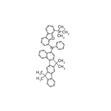 CC1(C)c2ccccc2-c2cc3c(cc21)-c1c(cc(N(c2ccccc2)c2cccc4c2oc2c([Si](C)(C)C)cccc24)c2ccccc12)C3(C)C